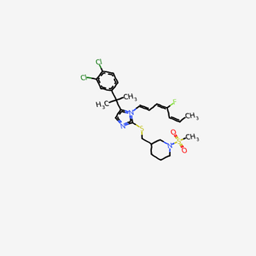 C\C=C/C(F)=C\C=C\n1c(C(C)(C)c2ccc(Cl)c(Cl)c2)cnc1SCC1CCCN(S(C)(=O)=O)C1